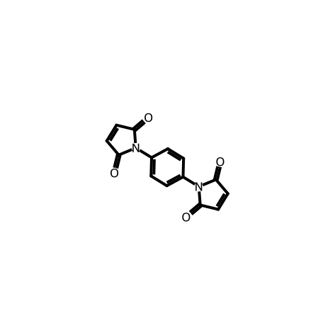 O=C1C=CC(=O)N1c1ccc(N2C(=O)C=CC2=O)cc1